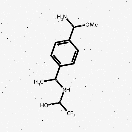 COC(N)c1ccc(C(C)NC(O)C(F)(F)F)cc1